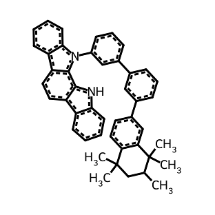 CC1CC(C)(C)c2ccc(-c3cccc(-c4cccc(-n5c6ccccc6c6ccc7c8ccccc8[nH]c7c65)c4)c3)cc2C1(C)C